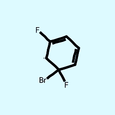 FC1=CC=CC(F)(Br)[CH]1